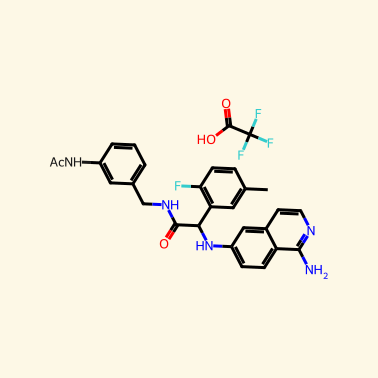 CC(=O)Nc1cccc(CNC(=O)C(Nc2ccc3c(N)nccc3c2)c2cc(C)ccc2F)c1.O=C(O)C(F)(F)F